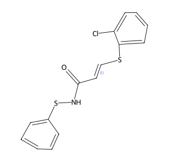 O=C(/C=C/Sc1ccccc1Cl)NSc1ccccc1